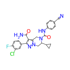 N#Cc1ccc(NC(=O)N2Cc3c(C(N)=O)c(-c4ccc(F)c(Cl)c4)nn3CC2C2CC2)cc1